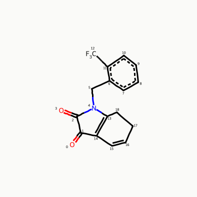 O=C1C(=O)N(Cc2ccccc2C(F)(F)F)C2=C1C=CCC2